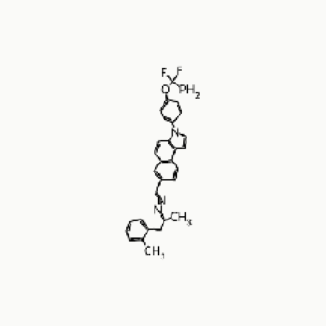 C/C(Cc1ccccc1C)=N\N=C\c1ccc2c(ccc3c2ccn3-c2ccc(OC(F)(F)P)cc2)c1